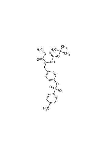 COC(=O)[C@H](Cc1ccc(OS(=O)(=O)c2ccc(C)cc2)cc1)NC(=O)OC(C)(C)C